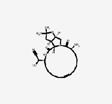 CC1(C)C[C@H]2[C@H](CN3C(=O)[C@@H](N)CCCCC=CCCCC[C@@H](C(O)C#N)NC(=O)[C@H]23)O1